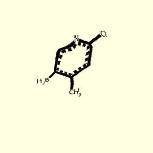 Bc1cnc(Cl)cc1C